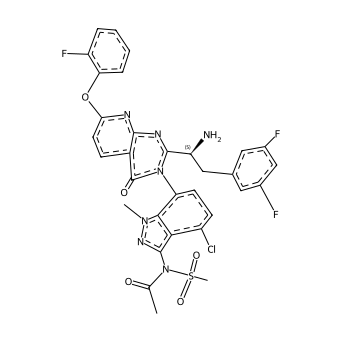 CC(=O)N(c1nn(C)c2c(-n3c([C@@H](N)Cc4cc(F)cc(F)c4)nc4nc(Oc5ccccc5F)ccc4c3=O)ccc(Cl)c12)S(C)(=O)=O